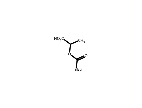 CCCCC(=O)OC(C)C(=O)O